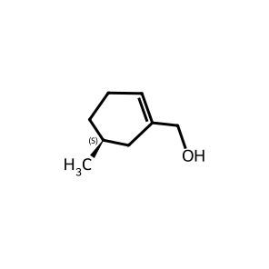 C[C@H]1CCC=C(CO)C1